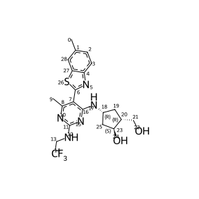 Cc1ccc2nc(-c3c(C)nc(NCC(F)(F)F)nc3N[C@@H]3C[C@H](CO)[C@@H](O)C3)sc2c1